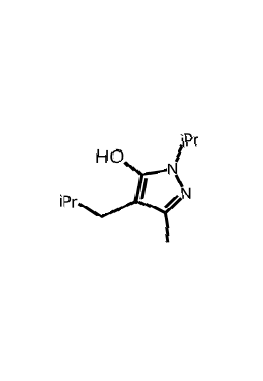 Cc1nn(C(C)C)c(O)c1CC(C)C